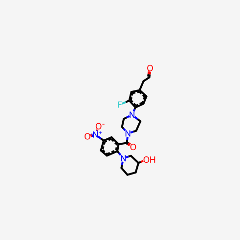 O=CCc1ccc(N2CCN(C(=O)c3cc([N+](=O)[O-])ccc3N3CCCC(O)C3)CC2)c(F)c1